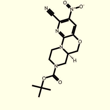 CC(C)(C)OC(=O)N1CCN2c3nc(C#N)c([N+](=O)[O-])cc3OC[C@H]2C1